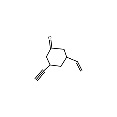 C#CC1CC(=O)CC(C=C)C1